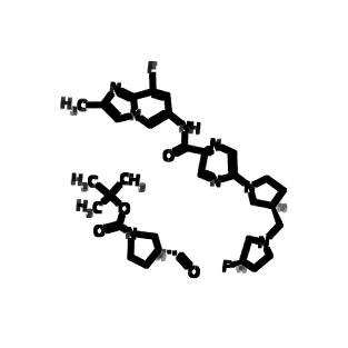 CC(C)(C)OC(=O)N1CC[C@@H](C=O)C1.Cc1cn2cc(NC(=O)c3cnc(N4CC[C@@H](CN5CC[C@@H](F)C5)C4)cn3)cc(F)c2n1